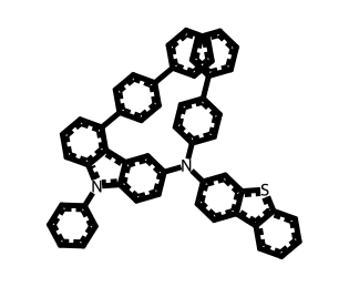 c1ccc(-c2ccc(-c3cccc4c3c3cc(N(c5ccc(-c6ccccc6)cc5)c5ccc6c(c5)sc5ccccc56)ccc3n4-c3ccccc3)cc2)cc1